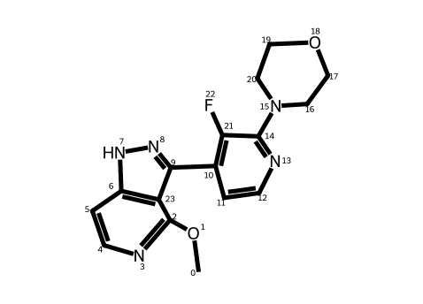 COc1nccc2[nH]nc(-c3ccnc(N4CCOCC4)c3F)c12